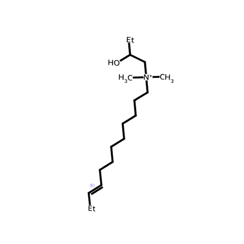 CC/C=C/CCCCCCCC[N+](C)(C)CC(O)CC